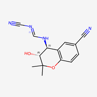 CC1(C)Oc2ccc(C#N)cc2[C@H](N/C=N/C#N)[C@H]1O